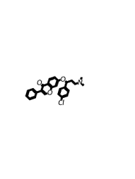 CN(C)CCC(Oc1ccc2c(=O)c(-c3ccccc3)coc2c1)c1ccc(Cl)cc1